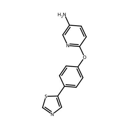 Nc1ccc(Oc2ccc(-c3cncs3)cc2)nc1